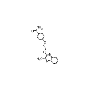 Cc1nc2ccccc2nc1OCCOc1ccc(C(N)=O)cc1